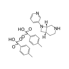 Cc1ccc(S(=O)(=O)O)cc1.Cc1ccc(S(=O)(=O)O)cc1.c1cncc(N2C[C@H]3CCNC[C@H]32)c1